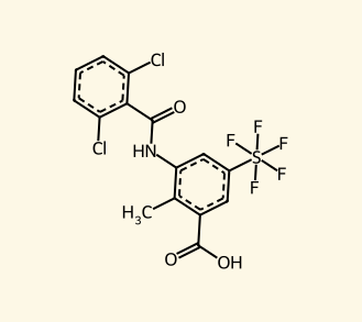 Cc1c(NC(=O)c2c(Cl)cccc2Cl)cc(S(F)(F)(F)(F)F)cc1C(=O)O